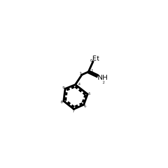 CCC(=N)Cc1ccccc1